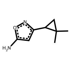 CC1(C)CC1c1cc(N)on1